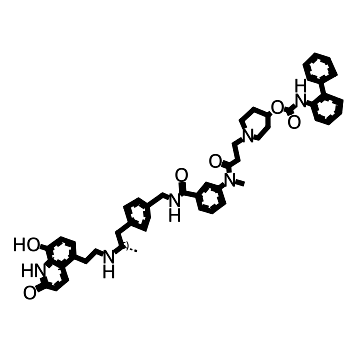 C[C@@H](Cc1ccc(CNC(=O)c2cccc(N(C)C(=O)CCN3CCC(OC(=O)Nc4ccccc4-c4ccccc4)CC3)c2)cc1)NCCc1ccc(O)c2[nH]c(=O)ccc12